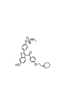 NS(=O)(=O)Oc1ccc(-c2sc3cc(O)ccc3c2C(=O)c2ccc(OCCN3CCCCC3)cc2)cc1